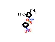 Cc1cc(C)cc(NS(=O)(=O)c2cccc([N+](=O)[O-])c2)c1